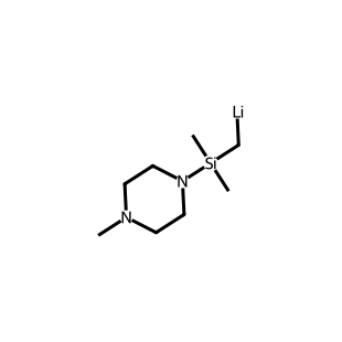 [Li][CH2][Si](C)(C)N1CCN(C)CC1